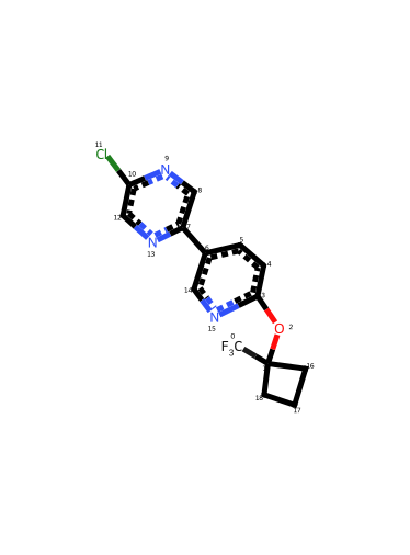 FC(F)(F)C1(Oc2ccc(-c3cnc(Cl)cn3)cn2)CCC1